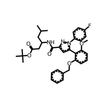 COc1cccc(OCc2ccccc2)c1-c1cc(C(=O)NC(CC(=O)OC(C)(C)C)CC(C)C)nn1-c1ccc(F)cc1